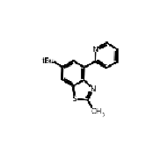 Cc1nc2c(-c3ccccn3)cc(C(C)(C)C)cc2s1